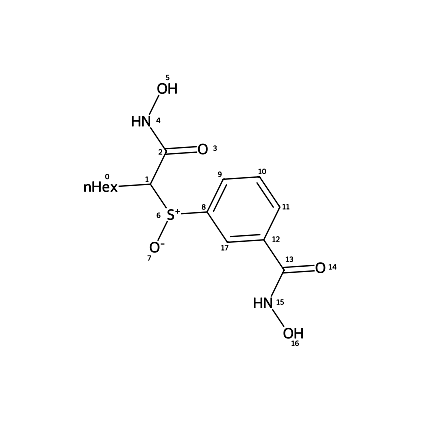 CCCCCCC(C(=O)NO)[S+]([O-])c1cccc(C(=O)NO)c1